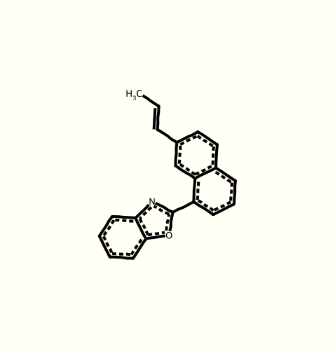 C/C=C/c1ccc2cccc(-c3nc4ccccc4o3)c2c1